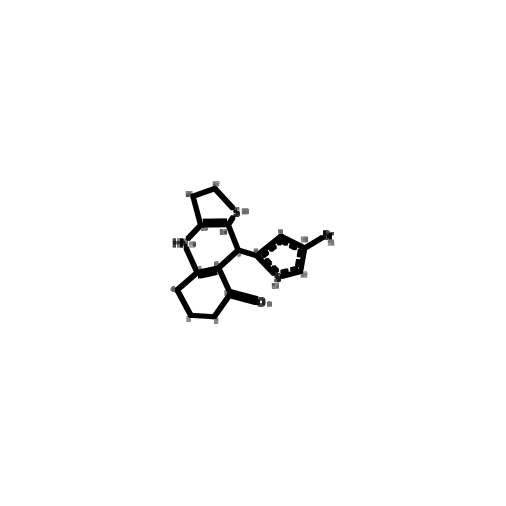 O=C1CCCC2=C1C(c1cc(Br)cs1)C1=C(CCS1)N2